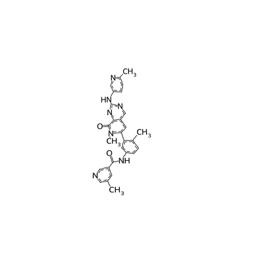 Cc1cncc(C(=O)Nc2ccc(C)c(-c3cc4cnc(Nc5ccc(C)nc5)nc4c(=O)n3C)c2)c1